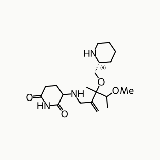 C=C(CNC1CCC(=O)NC1=O)C(C)(OC[C@H]1CCCCN1)C(C)OC